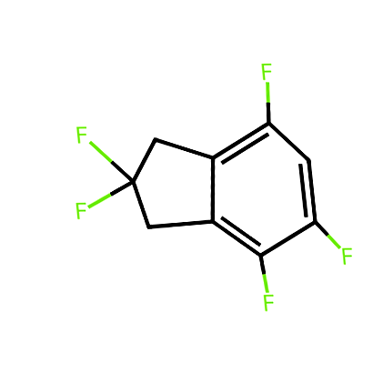 Fc1cc(F)c2c(c1F)CC(F)(F)C2